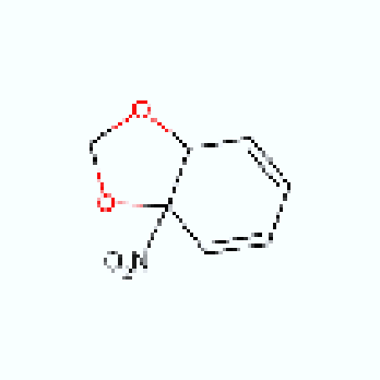 O=[N+]([O-])C12C=CC=CC1OCO2